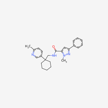 Cc1ccc(C2(CNC(=O)c3cc(-c4ccccc4)nn3C)CCCCC2)cn1